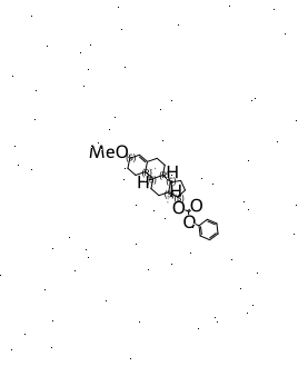 CO[C@@H]1C=C2CC[C@H]3[C@@H]4CC[C@H](OC(=O)Oc5ccccc5)[C@@]4(C)CC[C@@H]3[C@@]2(C)CC1